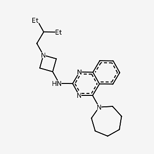 CCC(CC)CN1CC(Nc2nc(N3CCCCCC3)c3ccccc3n2)C1